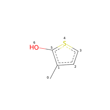 Cc1ccsc1O